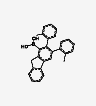 Cc1ccccc1-c1cc2c(c(B(O)O)c1-c1ccccc1C)Cc1ccccc1-2